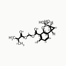 CC(C)C(=O)OCOC(=O)c1c(F)ccc2c1O[B-](O)(O)[C@@H]1C[C@H]21